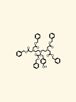 O=C(CN(CCN(CCN(CC(=O)OCc1ccccc1)CC(=O)OCc1ccccc1)[C@@H](Cc1ccc(O)cc1)C(=O)OCc1ccccc1)CC(=O)OCc1ccccc1)OCc1ccccc1